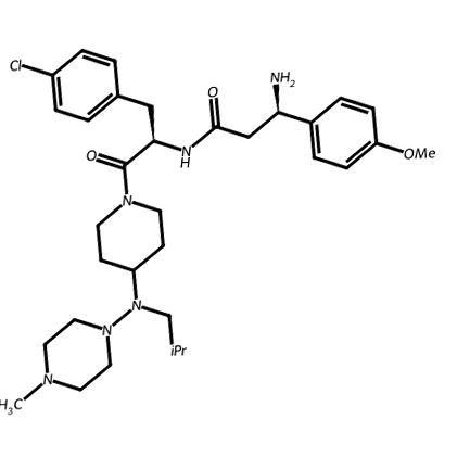 COc1ccc([C@H](N)CC(=O)N[C@H](Cc2ccc(Cl)cc2)C(=O)N2CCC(N(CC(C)C)N3CCN(C)CC3)CC2)cc1